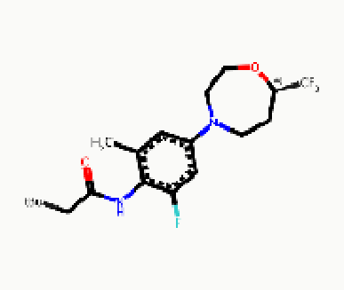 Cc1cc(N2CCO[C@@H](C(F)(F)F)CC2)cc(F)c1NC(=O)CC(C)(C)C